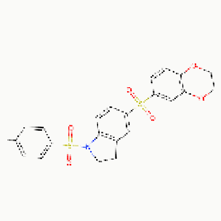 O=S(=O)(c1ccc2c(c1)CCN2S(=O)(=O)c1ccc(F)cc1)c1ccc2c(c1)OCCO2